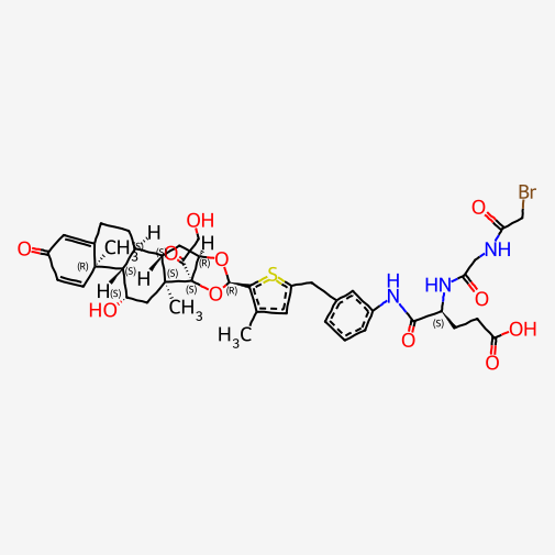 Cc1cc(Cc2cccc(NC(=O)[C@H](CCC(=O)O)NC(=O)CNC(=O)CBr)c2)sc1[C@@H]1O[C@@H]2C[C@H]3[C@@H]4CCC5=CC(=O)C=C[C@]5(C)[C@H]4[C@@H](O)C[C@]3(C)[C@]2(C(=O)CO)O1